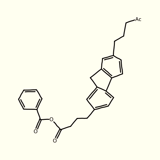 CC(=O)CCCc1ccc2c(c1)Cc1cc(CCCC(=O)OC(=O)c3ccccc3)ccc1-2